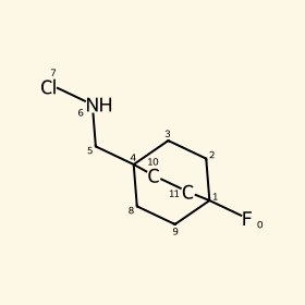 FC12CCC(CNCl)(CC1)CC2